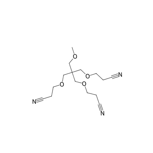 COCC(COCCC#N)(COCCC#N)COCCC#N